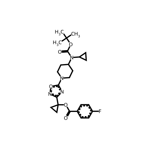 CC(C)(C)OC(=O)N(C1CC1)C1CCN(c2nc(C3(OC(=O)c4ccc(F)cc4)CC3)no2)CC1